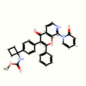 CC(C)(C)OC(=O)NC1(c2ccc(-c3c(-c4ccccc4)oc4c(-n5ccccc5=O)nccc4c3=O)cc2)CCC1